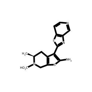 C[C@H]1Cc2c(sc(N)c2-c2nc3cnccc3s2)CN1C(=O)O